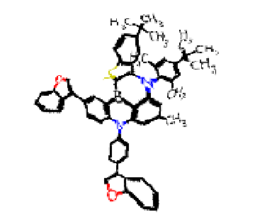 Cc1cc2c3c(c1)N(c1c(C)cc(C(C)(C)C)cc1C)c1c(sc4ccc(C(C)(C)C)cc14)B3c1cc(-c3coc4ccccc34)ccc1N2c1ccc(-c2coc3ccccc23)cc1